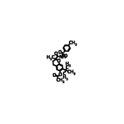 CC(=O)Oc1cc2c(cc1C(C)(C)C)OC(C)(C(=O)NS(=O)(=O)c1ccc(C)cc1)CC2